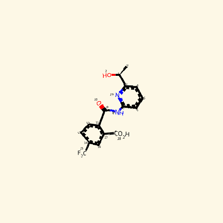 C[C@H](O)c1cccc(NC(=O)c2ccc(C(F)(F)F)cc2C(=O)O)n1